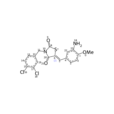 COc1ccc(/C=C2\SC(=O)N(Cc3ccc(Cl)c(Cl)c3)C2=O)cc1N